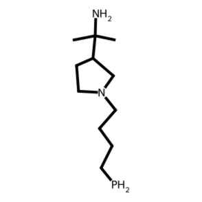 CC(C)(N)C1CCN(CCCCP)C1